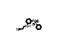 N#CCCNc1cccc(NS(=O)(=O)c2ccccc2)c1